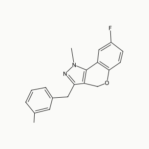 Cc1cccc(Cc2nn(C)c3c2COc2ccc(F)cc2-3)c1